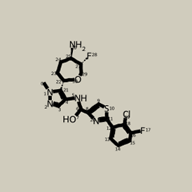 Cn1ncc(NC(O)c2csc(-c3cccc(F)c3Cl)n2)c1[C@@H]1CC[C@@H](N)[C@H](F)CO1